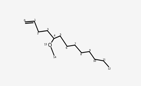 C=CCCC(CCCCCCCC)OC